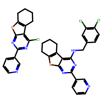 Clc1ccc(CNc2nc(-c3cccnc3)nc3sc4c(c23)CCCC4)cc1Cl.Clc1nc(-c2cccnc2)nc2sc3c(c12)CCCC3